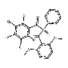 COc1cccc(OC)c1C(=O)P(=O)(C(=O)c1c(Cl)c(Cl)c(Cl)c(Cl)c1Cl)c1ccccc1